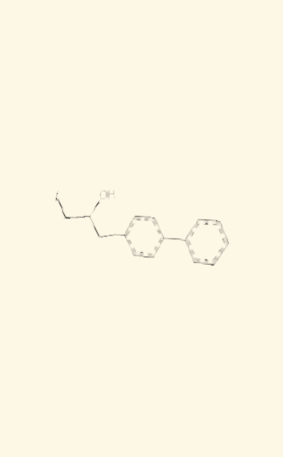 O[C@H](CI)Cc1ccc(-c2ccccc2)cc1